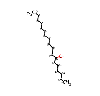 CCCCCCCCCCCC([O])CCCCCC